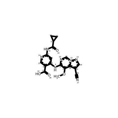 COc1c(Nc2cc(NC(=O)C3CC3)ncc2C(=O)O)ncn2ncc(C#N)c12